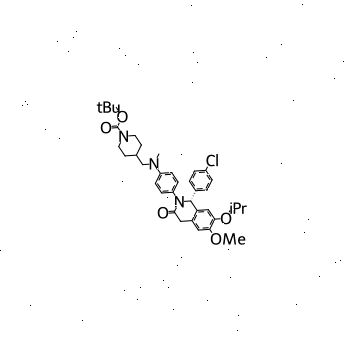 COc1cc2c(cc1OC(C)C)[C@@H](c1ccc(Cl)cc1)N(c1ccc(N(C)CC3CCN(C(=O)OC(C)(C)C)CC3)cc1)C(=O)C2